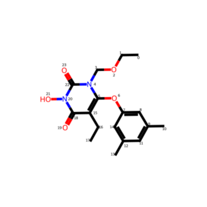 CCOCn1c(Oc2cc(C)cc(C)c2)c(CC)c(=O)n(O)c1=O